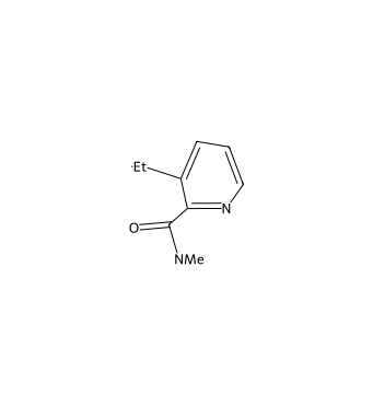 C[CH]c1cccnc1C(=O)NC